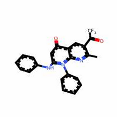 Cc1nc2c(cc1C(=O)C(F)(F)F)c(=O)cc(Nc1ccccc1)n2-c1ccccc1